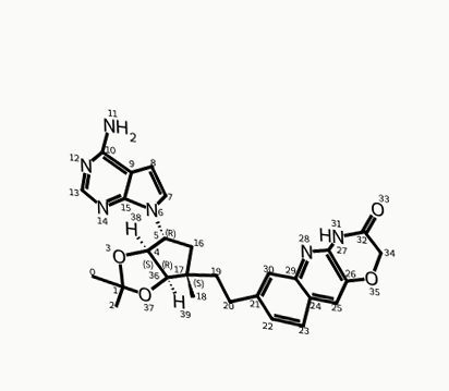 CC1(C)O[C@H]2[C@H](n3ccc4c(N)ncnc43)C[C@](C)(CCc3ccc4cc5c(nc4c3)NC(=O)CO5)[C@H]2O1